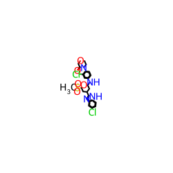 CS(=O)(=O)CCC(CC(=O)Nc1ccc(N2CCOCC2=O)c(Cl)c1)c1nc2cc(Cl)ccc2[nH]1